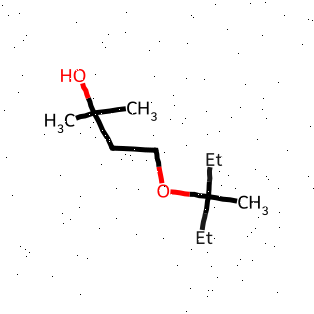 CCC(C)(CC)OCCC(C)(C)O